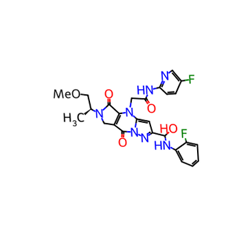 COC[C@H](C)N1Cc2c(n(CC(=O)Nc3ccc(F)cn3)c3cc(C(O)Nc4ccccc4F)nn3c2=O)C1=O